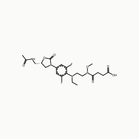 CCN(CCN(OC)C(=O)CCC(=O)O)c1c(F)cc(N2C[C@H](CNC(C)=O)OC2=O)cc1F